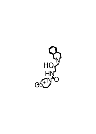 O=C(NC[C@H](O)CN1CCc2ccccc2C1)N1CCC[S+]([O-])CC1